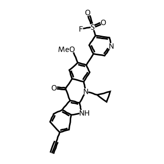 C#Cc1ccc2c(c1)[nH]c1c2c(=O)c2cc(OC)c(-c3cncc(S(=O)(=O)F)c3)cc2n1C1CC1